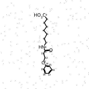 O=C(O)CCCCCCCNC(=O)CCOc1ccccc1